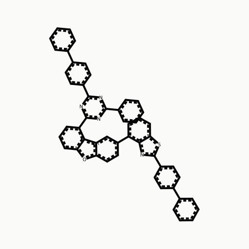 c1ccc(-c2ccc(-c3nc(-c4ccccc4)nc(-c4cccc5oc6ccc(-c7cccc8sc(-c9ccc(-c%10ccccc%10)cc9)nc78)cc6c45)n3)cc2)cc1